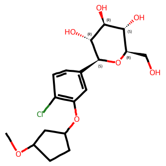 COC1CCC(Oc2cc([C@@H]3O[C@H](CO)[C@@H](O)[C@H](O)[C@H]3O)ccc2Cl)C1